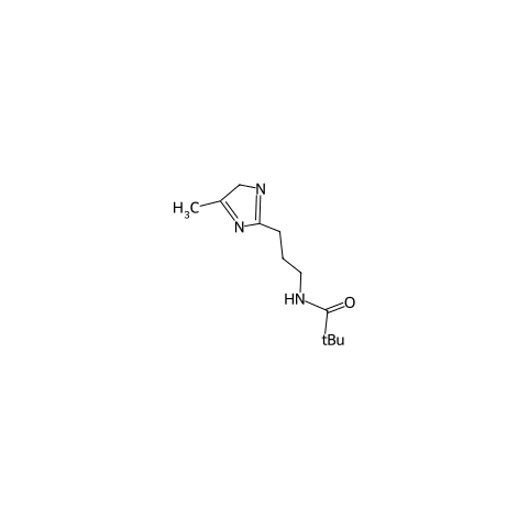 CC1=NC(CCCNC(=O)C(C)(C)C)=NC1